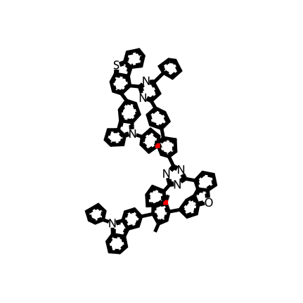 Cc1cc(-c2ccc3c(c2)c2ccccc2n3-c2ccccc2)c(C)cc1-c1ccc2oc3cccc(-c4nc(-c5ccccc5)nc(-c5ccc(-c6ccc(-c7cc(-c8ccccc8)nc(-c8c(-c9ccc%10c(c9)c9ccccc9n%10-c9ccccc9)ccc9sc%10ccccc%10c89)n7)cc6)cc5)n4)c3c2c1